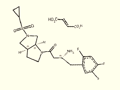 N[C@@H](CC(=O)N1CC[C@H]2CN(S(=O)(=O)C3CC3)C[C@H]21)Cc1cc(F)c(F)cc1F.O=C(O)C=CC(=O)O